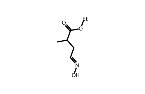 CCOC(=O)C(C)CC=NO